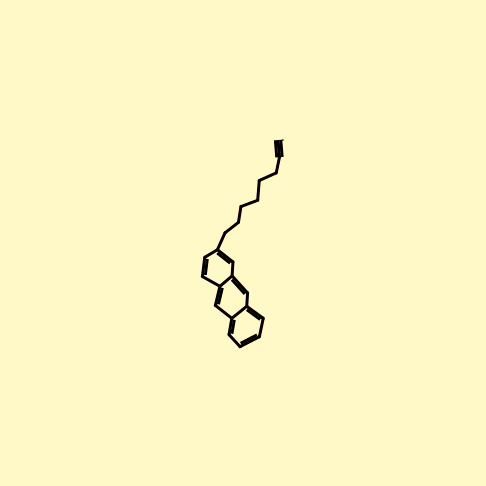 [C]#CCCCCCCc1ccc2cc3ccccc3cc2c1